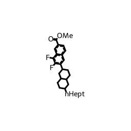 CCCCCCCC1CCC2CC(c3cc4ccc(C(=O)OC)cc4c(F)c3F)CCC2C1